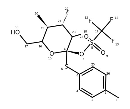 Cc1ccc(S[C@]2(OS(=O)(=O)C(F)(F)F)OC(CO)[C@@H](C)[C@H](C)C2C)cc1